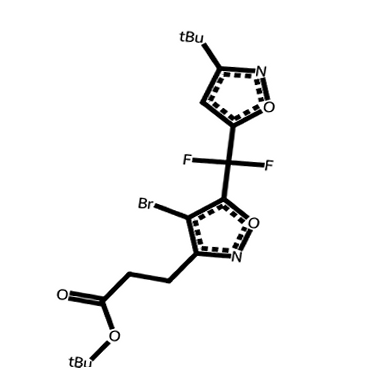 CC(C)(C)OC(=O)CCc1noc(C(F)(F)c2cc(C(C)(C)C)no2)c1Br